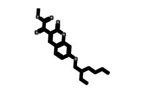 CCCCC(CC)COc1ccc2cc(C(=O)C(=O)OC)c(=O)oc2c1